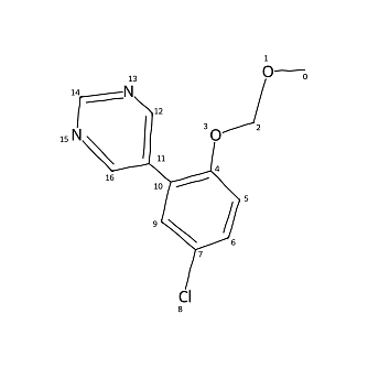 COCOc1ccc(Cl)cc1-c1cncnc1